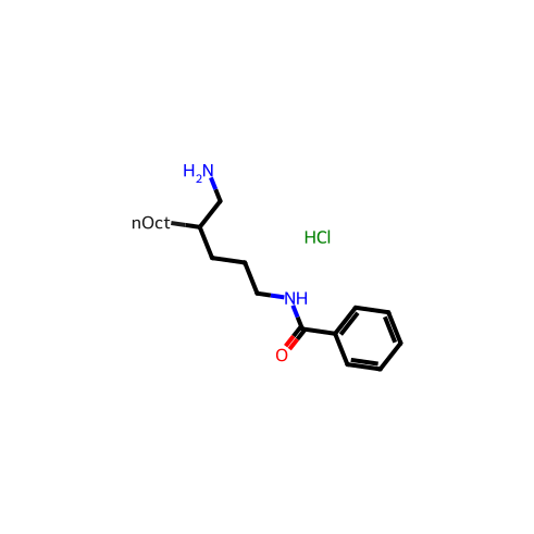 CCCCCCCCC(CN)CCCNC(=O)c1ccccc1.Cl